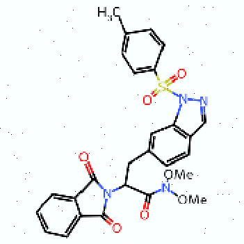 CON(OC)C(=O)C(Cc1ccc2cnn(S(=O)(=O)c3ccc(C)cc3)c2c1)N1C(=O)c2ccccc2C1=O